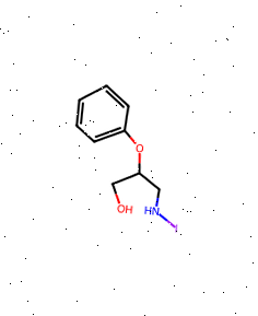 OCC(CNI)Oc1ccccc1